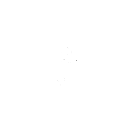 Cc1nc2cccc3n(CCCCNC(=O)C(F)(F)F)c(=O)c1n23.Cl